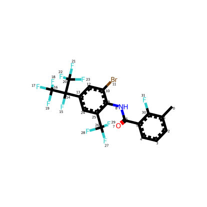 Cc1cccc(C(=O)Nc2c(Br)cc(C(F)(C(F)(F)F)C(F)(F)F)cc2C(F)(F)F)c1F